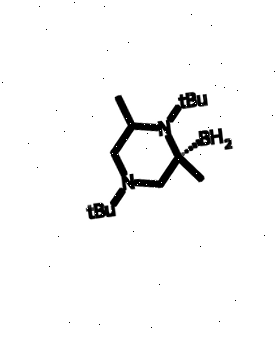 B[C@]1(C)CN(C(C)(C)C)CC(C)N1C(C)(C)C